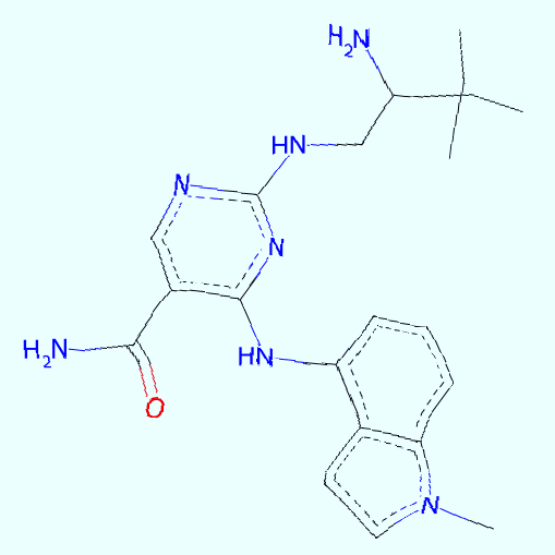 Cn1ccc2c(Nc3nc(NCC(N)C(C)(C)C)ncc3C(N)=O)cccc21